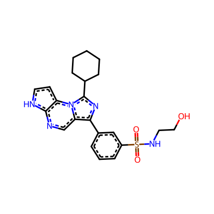 O=S(=O)(NCCO)c1cccc(-c2nc(C3CCCCC3)n3c2cnc2[nH]ccc23)c1